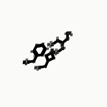 CCC1CNC1.CO[SiH](OC)OC.NCc1ccccc1